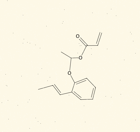 C=CC(=O)OC(C)Oc1ccccc1C=CC